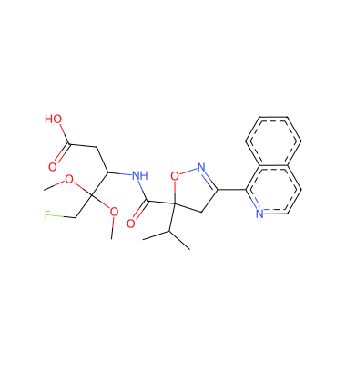 COC(CF)(OC)C(CC(=O)O)NC(=O)C1(C(C)C)CC(c2nccc3ccccc23)=NO1